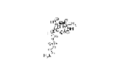 CC(O)(CC(=O)[O-])C(=O)[O-].CC(O)(CC(=O)[O-])C(=O)[O-].CCC[CH2][Sn+4][CH2]CCC